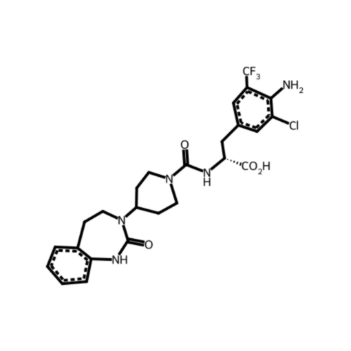 Nc1c(Cl)cc(C[C@@H](NC(=O)N2CCC(N3CCc4ccccc4NC3=O)CC2)C(=O)O)cc1C(F)(F)F